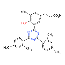 Cc1ccc(-c2nc(-c3ccc(C)cc3C)nc(-c3cc(CCC(=O)O)cc(C(C)(C)C)c3O)n2)c(C)c1